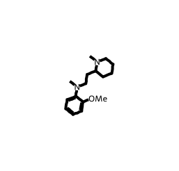 COc1ccccc1N(C)CCC1CCCCN1C